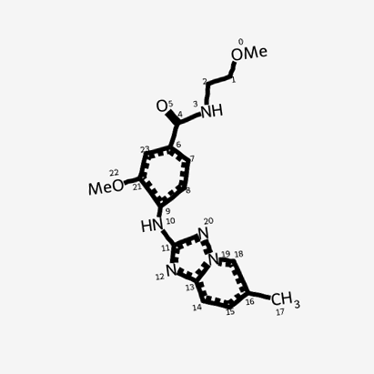 COCCNC(=O)c1ccc(Nc2nc3ccc(C)cn3n2)c(OC)c1